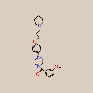 COc1cccc(C(=O)N2CCN(c3ccc(OCCCN4CCCCC4)cc3)CC2)c1